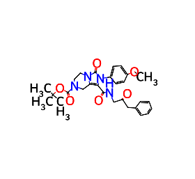 COc1ccc(-n2c(C(=O)NCC(=O)Cc3ccccc3)c3n(c2=O)CCN(C(=O)OC(C)(C)C)C3)cc1